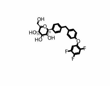 OC[C@H]1O[C@@H](c2ccc(Cc3ccc(Oc4cc(F)c(F)cc4F)cc3)cc2)[C@H](O)[C@@H](O)[C@@H]1O